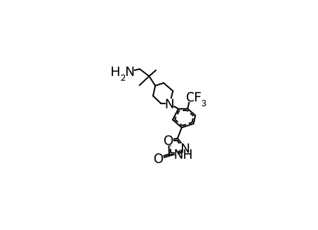 CC(C)(CN)C1CCN(c2cc(-c3n[nH]c(=O)o3)ccc2C(F)(F)F)CC1